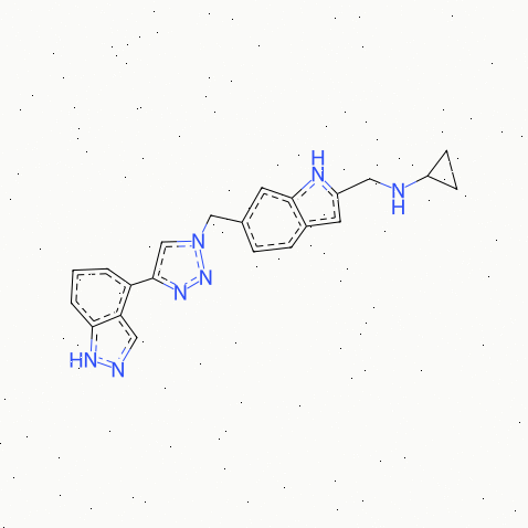 c1cc(-c2cn(Cc3ccc4cc(CNC5CC5)[nH]c4c3)nn2)c2cn[nH]c2c1